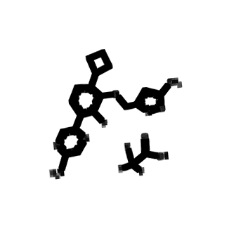 Cc1cc(COc2c(C3CCC3)ccc(-c3cnc(N)cn3)c2F)no1.O=C(O)C(F)(F)F